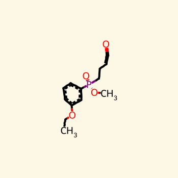 CCOc1cccc(P(=O)(CCC=C=O)OC)c1